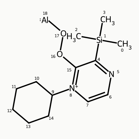 C[Si](C)(C)c1ncc[n+](C2CCCCC2)c1O[O][Al]